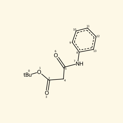 CC(C)(C)OC(=O)CC(=O)Nc1ccccc1